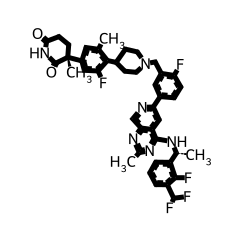 Cc1nc(N[C@H](C)c2cccc(C(F)F)c2F)c2cc(-c3ccc(F)c(CN4CCC(c5c(C)cc([C@@]6(C)CCC(=O)NC6=O)cc5F)CC4)c3)ncc2n1